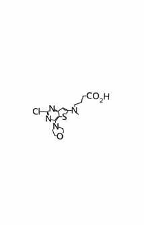 CN(CCCC(=O)O)c1cc2nc(Cl)nc(N3CCOCC3)c2s1